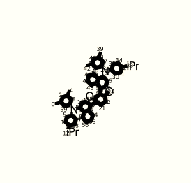 Cc1cc(C)cc(N(c2ccc(C(C)C)cc2)c2cc3oc4c(ccc5oc6cc(N(c7ccc(C(C)C)cc7)c7cc(C)cc(C)c7)c7ccccc7c6c54)c3c3ccccc23)c1